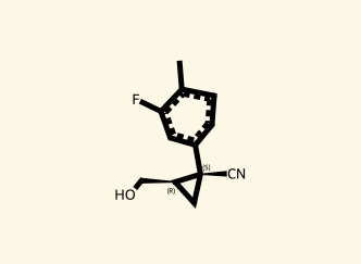 Cc1ccc([C@]2(C#N)C[C@H]2CO)cc1F